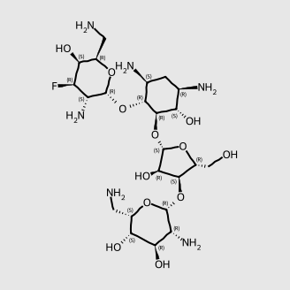 NC[C@@H]1O[C@H](O[C@H]2[C@@H](O)[C@H](O[C@@H]3[C@@H](O)[C@H](N)C[C@H](N)[C@H]3O[C@H]3O[C@H](CN)[C@H](O)[C@H](F)[C@H]3N)O[C@@H]2CO)[C@H](N)[C@@H](O)[C@@H]1O